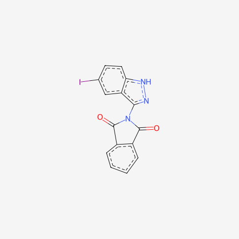 O=C1c2ccccc2C(=O)N1c1n[nH]c2ccc(I)cc12